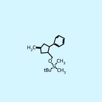 C=C1CC(CO[Si](C)(C)C(C)(C)C)C(c2ccccc2)C1